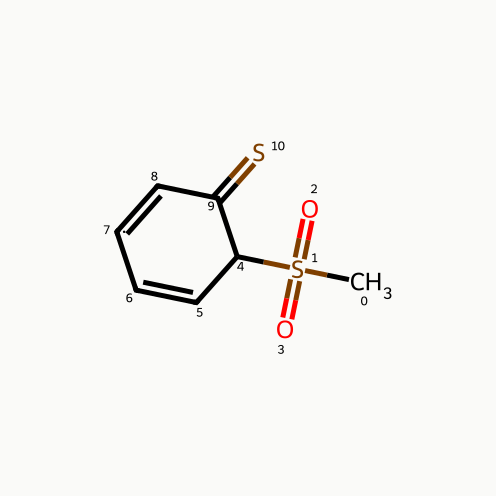 CS(=O)(=O)C1C=C[C]=CC1=S